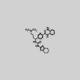 CN(C)CCCC(NC(=O)Nc1nc2c(s1)CCCC2)c1ccc(C(=O)Nc2ccccc2N)nc1